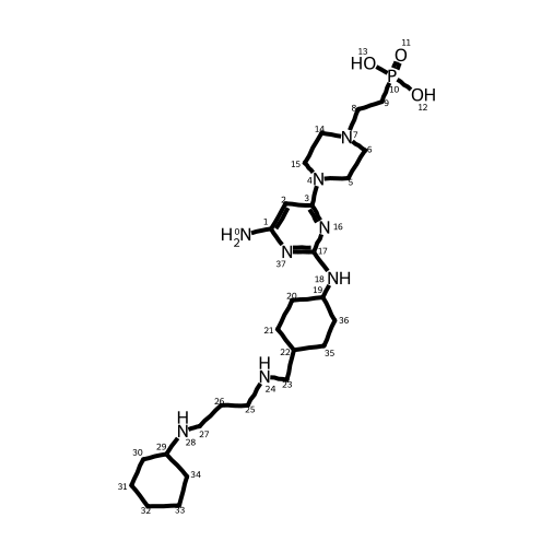 Nc1cc(N2CCN(CCP(=O)(O)O)CC2)nc(NC2CCC(CNCCCNC3CCCCC3)CC2)n1